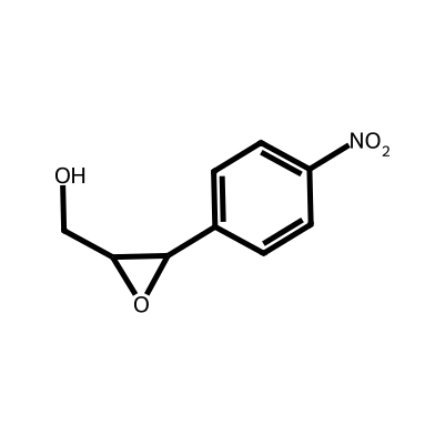 O=[N+]([O-])c1ccc(C2OC2CO)cc1